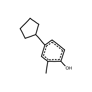 Cc1cc(C2CCCC2)ccc1O